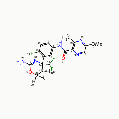 COc1cnc(C(=O)Nc2ccc(F)c([C@]3(C(F)F)N=C(N)O[C@H]4C[C@H]43)c2)c(C)n1